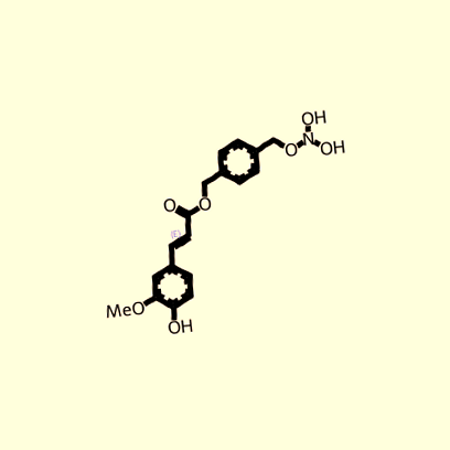 COc1cc(/C=C/C(=O)OCc2ccc(CON(O)O)cc2)ccc1O